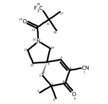 CC1(C)C[C@]2(C=C(C#N)C1=O)CCN(C(=O)C(C)(C)C(F)(F)F)C2